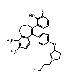 Nc1ccc2c(c1P)CCCC(c1cccc(F)c1O)=C2c1ccc(OC2CCN(CCCF)C2)cc1